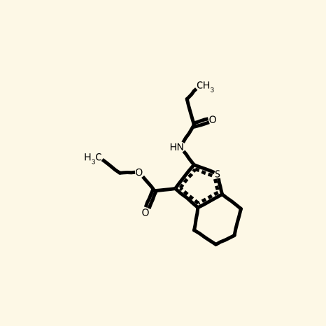 CCOC(=O)c1c(NC(=O)CC)sc2c1CCCC2